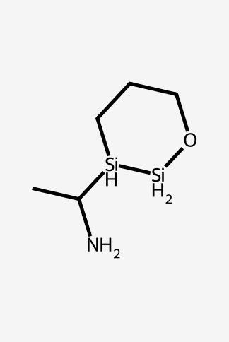 CC(N)[SiH]1CCCO[SiH2]1